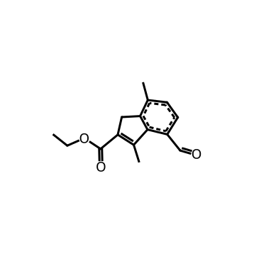 CCOC(=O)C1=C(C)c2c(C=O)ccc(C)c2C1